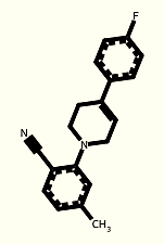 Cc1ccc(C#N)c(N2CC=C(c3ccc(F)cc3)CC2)c1